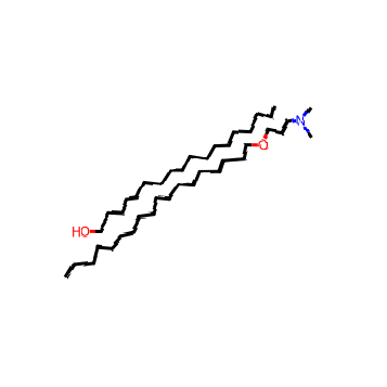 CCCCCCCCCCCCCCCCCCO.CCCCCCCCCCCCCCCCCCOCCCN(C)C